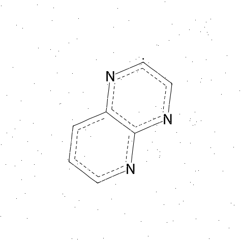 [c]1cnc2ncccc2n1